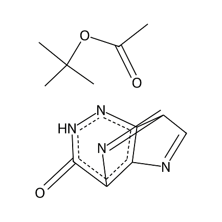 CC(=O)OC(C)(C)C.O=c1[nH]nc2c3c1N=C2C=N3